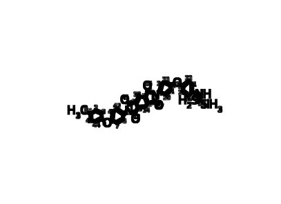 Cc1ccc(Oc2ccc(-n3c(=O)c4cc5c(=O)n(-c6ccc(Oc7ccc(N[SiH2][SiH3])cc7)cc6)c(=O)c5cc4c3=O)cc2)cc1